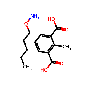 CCCCCON.Cc1c(C(=O)O)cccc1C(=O)O